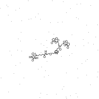 CC1NC(=O)NC1CCCCCC(=O)NCCOCCn1cc(CC(=O)N(CCC(=O)ON2C(=O)CCC2=O)CCC(=O)ON2C(=O)CCC2=O)nn1